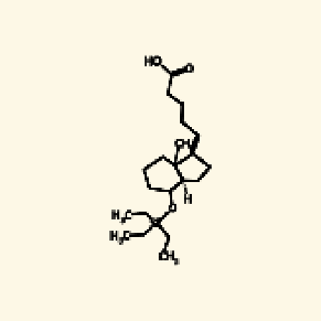 CC[Si](CC)(CC)OC1CCCC2(C)/C(=C\CCCC(=O)O)CC[C@@H]12